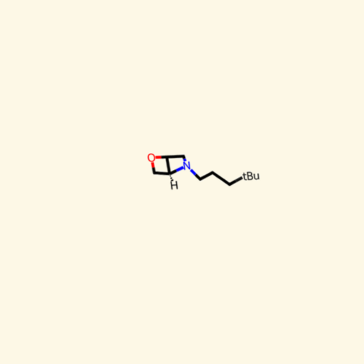 CC(C)(C)CCCN1CC2OC[C@@H]21